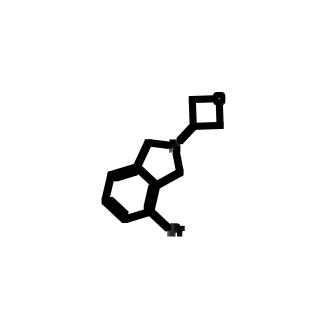 CC(C)c1cccc2c1CN(C1COC1)C2